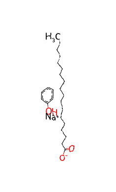 CCCCCCCCCCCCCCCCCC(=O)[O-].Oc1ccccc1.[Na+]